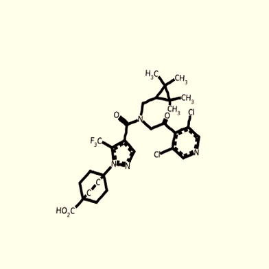 CC1(C)C(CN(CC(=O)c2c(Cl)cncc2Cl)C(=O)c2cnn(C34CCC(C(=O)O)(CC3)CC4)c2C(F)(F)F)C1(C)C